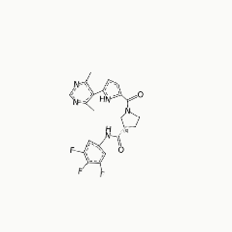 Cc1ncnc(C)c1-c1ccc(C(=O)N2CC[C@H](C(=O)Nc3cc(F)c(F)c(F)c3)C2)[nH]1